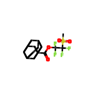 CS(=O)(=O)C(F)(F)C(F)(F)OC(=O)C12CC3CC(CC(C3)C1)C2